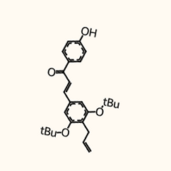 C=CCc1c(OC(C)(C)C)cc(C=CC(=O)c2ccc(O)cc2)cc1OC(C)(C)C